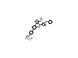 Cc1noc(-c2ccc(-c3ccc(CCC(=O)O)cc3)cc2)c1C(O)c1cn(Cc2ccccc2)nn1